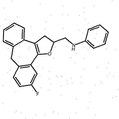 Fc1ccc2c(c1)C1=C(CC(CNc3ccccc3)O1)c1ccccc1C2